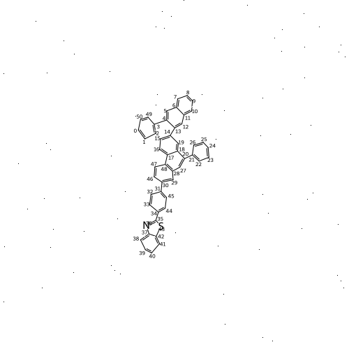 c1ccc(-c2cc3ccccc3cc2-c2ccc3c(c2)c(-c2ccccc2)cc2cc(-c4ccc(-c5nc6ccccc6s5)cc4)ccc23)cc1